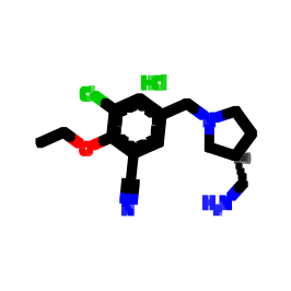 CCOc1c(Cl)cc(CN2CC[C@H](CN)C2)cc1C#N.Cl